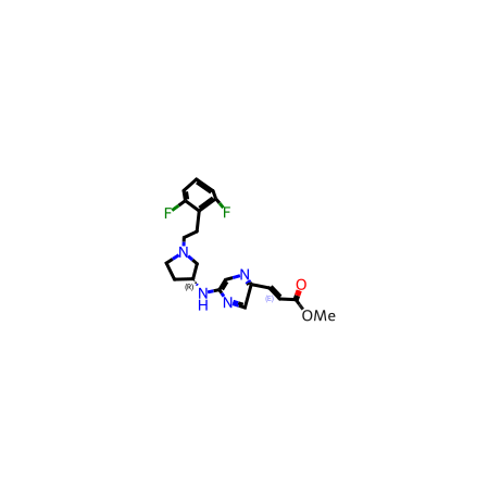 COC(=O)/C=C/c1cnc(N[C@@H]2CCN(CCc3c(F)cccc3F)C2)cn1